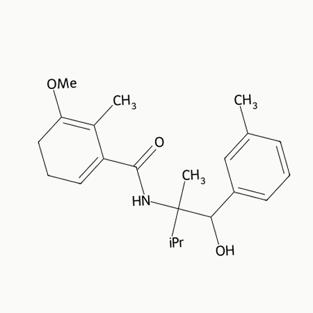 COC1=C(C)C(C(=O)NC(C)(C(C)C)C(O)c2cccc(C)c2)=CCC1